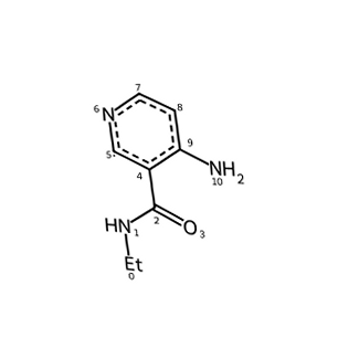 CCNC(=O)c1[c]nccc1N